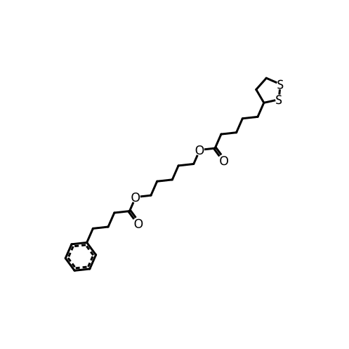 O=C(CCCCC1CCSS1)OCCCCCOC(=O)CCCc1ccccc1